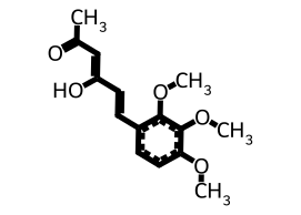 COc1ccc(/C=C/C(O)=C/C(C)=O)c(OC)c1OC